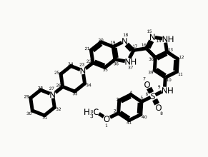 COc1ccc(S(=O)(=O)Nc2ccc3[nH]nc(-c4nc5ccc(N6CCC(N7CCCCC7)CC6)cc5[nH]4)c3c2)cc1